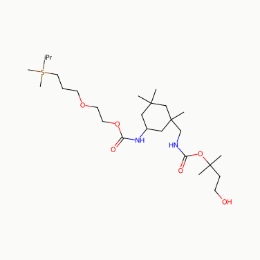 CC(C)S(C)(C)CCCOCCOC(=O)NC1CC(C)(C)CC(C)(CNC(=O)OC(C)(C)CCO)C1